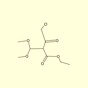 CCOC(=O)C(C(=O)CCl)C(OC)OC